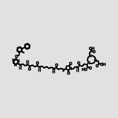 Cc1c(COc2ncnc(NCCNC(=O)CCC(=O)NCCCCCNC(=O)CCSC3CC(=O)N(CCNC(=O)CCC(C(=O)O)N4CCN(CC(=O)O)CCN(CC(=O)O)CC4)C3=O)n2)cccc1-c1ccccc1